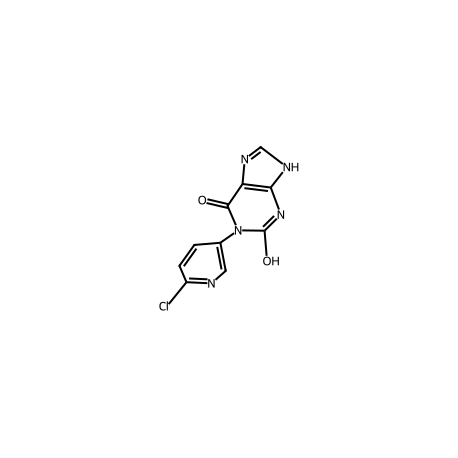 O=c1c2nc[nH]c2nc(O)n1-c1ccc(Cl)nc1